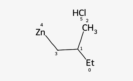 CCC(C)[CH2][Zn].Cl